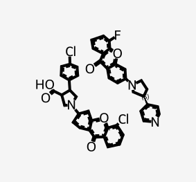 O=C(O)C1CN(c2ccc3c(=O)c4cccc(Cl)c4oc3c2)CC1c1ccc(Cl)cc1.O=c1c2ccc(N3CC[C@@H](c4ccncc4)C3)cc2oc2c(F)cccc12